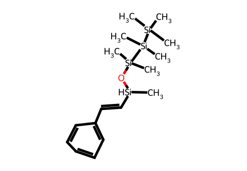 C[SiH](C=Cc1ccccc1)O[Si](C)(C)[Si](C)(C)[Si](C)(C)C